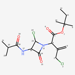 C=C(CCl)C(C(=O)OC(C)(C)CC)N1C(=O)C(NC(=O)C(C)C)C1Cl